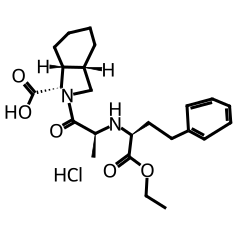 CCOC(=O)[C@H](CCc1ccccc1)N[C@@H](C)C(=O)N1C[C@H]2CCCC[C@H]2[C@H]1C(=O)O.Cl